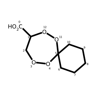 O=C(O)C1COOC2(CCCCC2)OO1